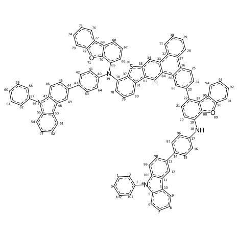 c1ccc(-n2c3ccccc3c3cc(-c4ccc(Nc5ccc(-c6ccc7c8ccccc8c8cc9sc%10c(N(c%11ccc(-c%12ccc%13c(c%12)c%12ccccc%12n%13-c%12ccccc%12)cc%11)c%11cccc%12c%11oc%11ccccc%11%12)cccc%10c9cc8c7c6)c6c5oc5ccccc56)cc4)ccc32)cc1